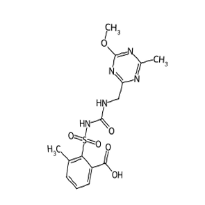 COc1nc(C)nc(CNC(=O)NS(=O)(=O)c2c(C)cccc2C(=O)O)n1